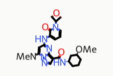 CNc1cc(Nc2cccn(C3COC3)c2=O)nc2c(C(=O)N[C@H]3CCC[C@H](OC)C3)cnn12